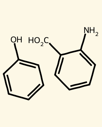 Nc1ccccc1C(=O)O.Oc1ccccc1